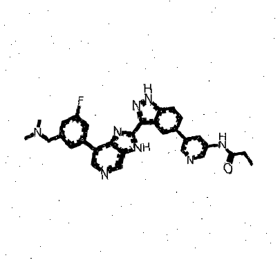 CCC(=O)Nc1cncc(-c2ccc3[nH]nc(-c4nc5c(-c6cc(F)cc(CN(C)C)c6)cncc5[nH]4)c3c2)c1